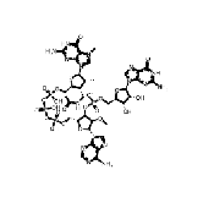 CO[C@@H]1[C@H](OP(=O)([O-])OC[C@H]2O[C@@H](n3cnc4c(=O)[nH]c(N)nc43)[C@H](O)[C@@H]2O)[C@@H](COP(=O)(O)OP(=O)(O)OP(=O)(O)OC[C@H]2O[C@@H](n3c[n+](C)c4c(=O)[nH]c(N)nc43)[C@H](C)[C@@H]2CNC(C)=O)O[C@H]1n1cnc2c(N)ncnc21